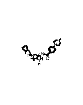 Cc1ccccc1CC(=O)N1Cc2c(NC(=O)c3ccc(N4CCN(C)CC4)cc3)n[nH]c2C1(C)C